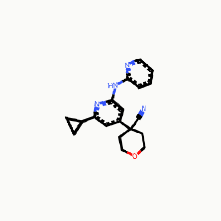 N#CC1(c2cc(Nc3ccccn3)nc(C3CC3)c2)CCOCC1